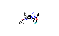 C[C@@H](NC(=O)CCC(F)(F)F)c1ccc2[nH]c([C@@H](NC(=O)C3CC3)C3CCC(F)(F)CC3)nc2c1